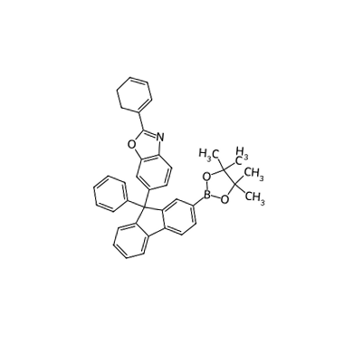 CC1(C)OB(c2ccc3c(c2)C(c2ccccc2)(c2ccc4nc(C5=CC=CCC5)oc4c2)c2ccccc2-3)OC1(C)C